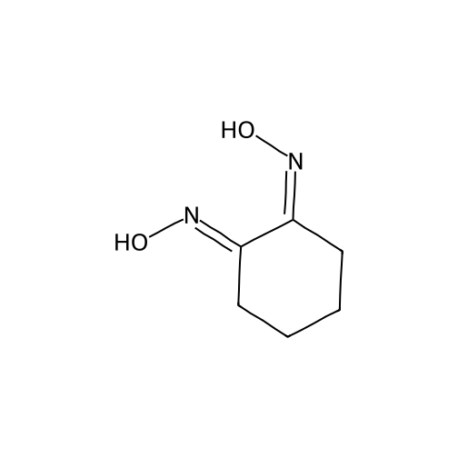 O/N=C1/CCCC/C1=N\O